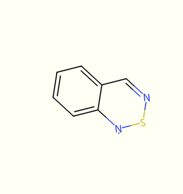 C1=NS[N]c2ccccc21